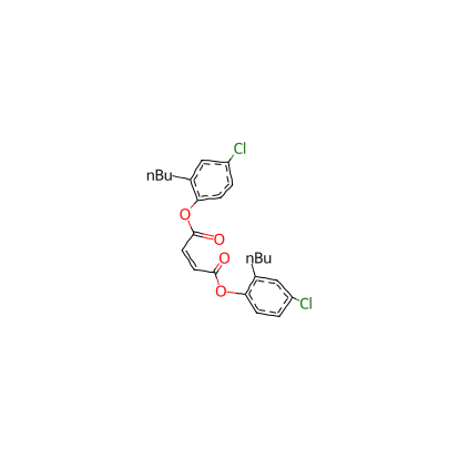 CCCCc1cc(Cl)ccc1OC(=O)/C=C\C(=O)Oc1ccc(Cl)cc1CCCC